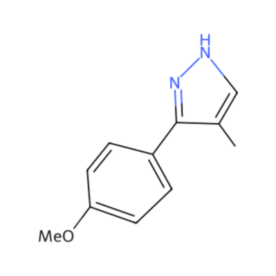 COc1ccc(-c2n[nH]cc2C)cc1